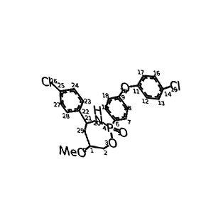 COC1COP(=O)(c2ccc(Oc3ccc(Cl)cc3)cc2)NC(c2ccc(Cl)cc2)C1